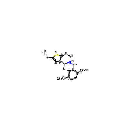 COc1ccc(OC)c2c1CC1c3cc(CC(F)(F)F)sc3CCN1C2